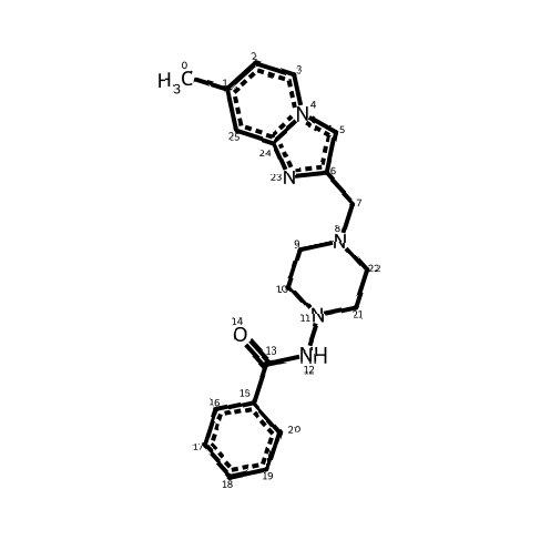 Cc1ccn2cc(CN3CCN(NC(=O)c4ccccc4)CC3)nc2c1